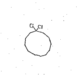 ClC1(Cl)CCCCCCCCCCC1